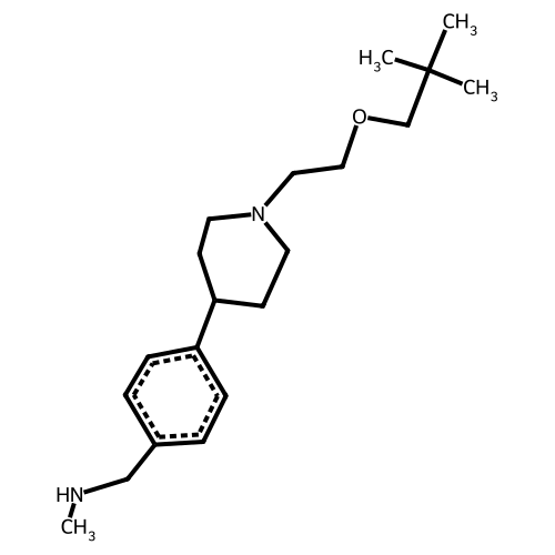 CNCc1ccc(C2CCN(CCOCC(C)(C)C)CC2)cc1